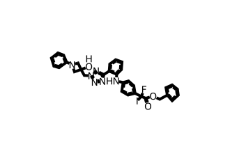 O=C(OCc1ccccc1)C(F)(I)c1ccc(Nc2ccccc2-c2nnn(CC3(O)CN(c4ccccc4)C3)n2)cc1